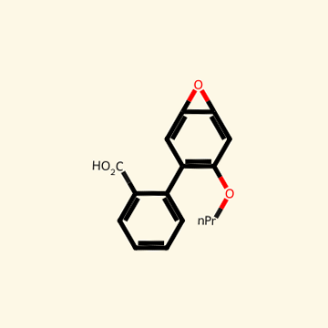 CCCOc1cc2c(cc1-c1ccccc1C(=O)O)O2